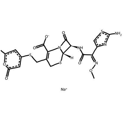 CO/N=C(\C(=O)N[C@@H]1C(=O)N2C(C(=O)[O-])=C(CSc3cc(C)oc(=O)c3)CS[C@@H]12)c1csc(N)n1.[Na+]